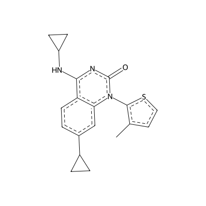 Cc1ccsc1-n1c(=O)nc(NC2CC2)c2ccc(C3CC3)cc21